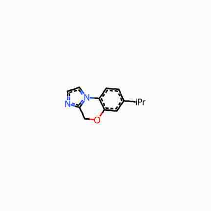 CC(C)c1ccc2c(c1)OCc1nccn1-2